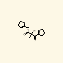 CCC(C)(C(=O)OC1=CCCC1)C(=O)C1=CCCC1